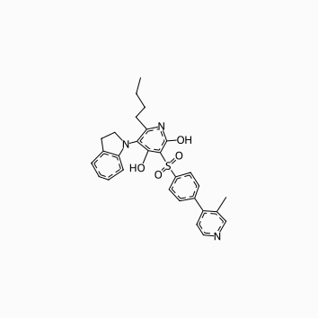 CCCCc1nc(O)c(S(=O)(=O)c2ccc(-c3ccncc3C)cc2)c(O)c1N1CCc2ccccc21